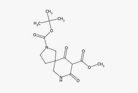 COC(=O)C1C(=O)NCC2(CCN(C(=O)OC(C)(C)C)C2)C1=O